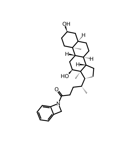 C[C@H](CCC(=O)N1Cc2ccccc21)[C@H]1CC[C@H]2[C@@H]3CC[C@@H]4C[C@H](O)CC[C@]4(C)[C@H]3C[C@H](O)[C@]12C